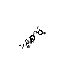 CC(Br)C(=O)Nc1ccc(Oc2ccc(F)cc2F)cn1